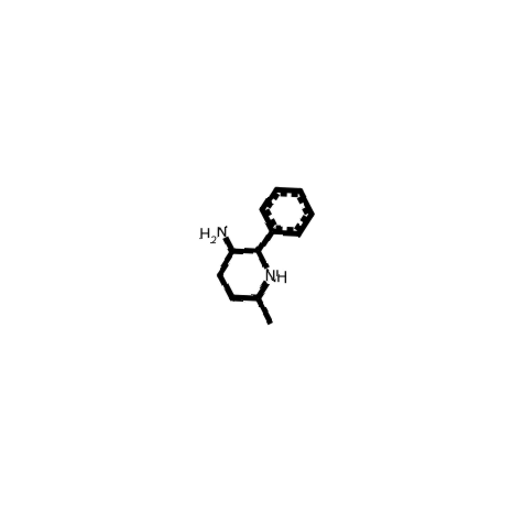 CC1CCC(N)C(c2ccccc2)N1